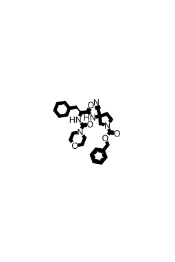 N#CC1(NC(=O)[C@H](CC2CCCCC2)NC(=O)N2CCOCC2)CCN(C(=O)OCc2ccccc2)C1